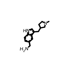 CN1CCC(Cc2c[nH]c3ccc(CN)cc23)C1